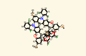 CSc1cc2c3c(c1)Oc1c(sc4ccc(F)cc14)B3c1cc3c(cc1O2)N(c1c(F)cccc1F)c1cc(SC)cc2c1B3c1cc3c(cc1N2c1c(F)cccc1F)Oc1cc(SC)cc2c1B3c1sc3ccc(F)cc3c1O2